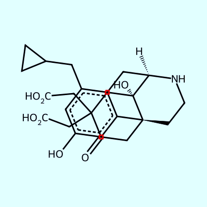 O=C(O)CC1(CC(=O)O)C[C@@]2(O)[C@H]3Cc4c(CC5CC5)cc(O)cc4[C@@]2(CCN3)CC1=O